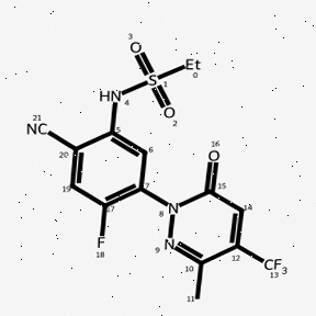 CCS(=O)(=O)Nc1cc(-n2nc(C)c(C(F)(F)F)cc2=O)c(F)cc1C#N